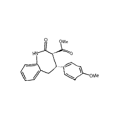 COC(=O)[C@@H]1C(=O)Nc2ccccc2C[C@H]1c1ccc(OC)cc1